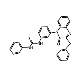 O=c1c(Cc2ccccc2)nc2cccnc2n1-c1cccc(NC(=S)Nc2ccccc2)c1